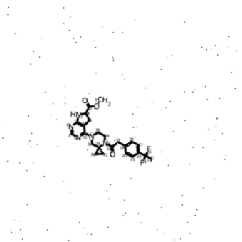 COC(=O)C1Cc2c(ncnc2N2CCN(C(=O)Cc3ccc(C(F)(F)F)cc3)C3(CC3)C2)N1